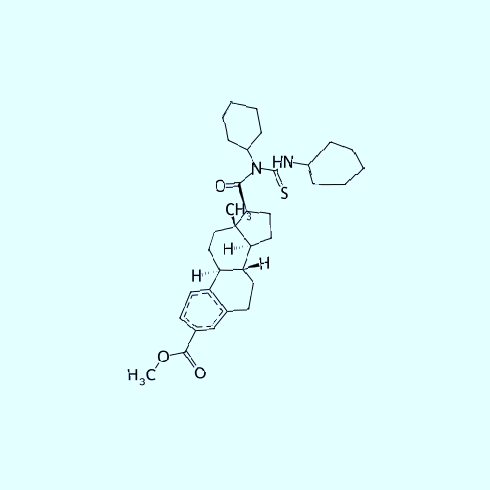 COC(=O)c1ccc2c(c1)CC[C@@H]1[C@@H]2CC[C@]2(C)[C@@H](C(=O)N(C(=S)NC3CCCCC3)C3CCCCC3)CC[C@@H]12